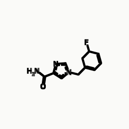 NC(=O)c1cn(CC2=CC=CC(F)C2)cn1